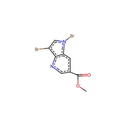 COC(=O)c1cnc2c(Br)cn(Br)c2c1